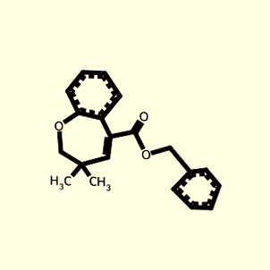 CC1(C)C=C(C(=O)OCc2ccccc2)c2ccccc2OC1